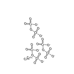 [Cr+3].[Cr+3].[O]=[Cr](=[O])([O-])[O][Cr](=[O])(=[O])[O-].[O]=[Cr](=[O])([O-])[O][Cr](=[O])(=[O])[O-].[O]=[Cr](=[O])([O-])[O][Cr](=[O])(=[O])[O-]